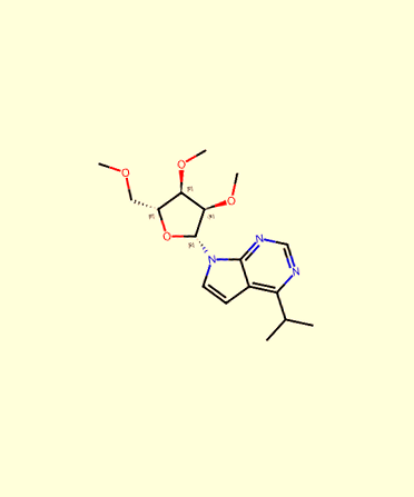 COC[C@H]1O[C@@H](n2ccc3c(C(C)C)ncnc32)[C@H](OC)[C@@H]1OC